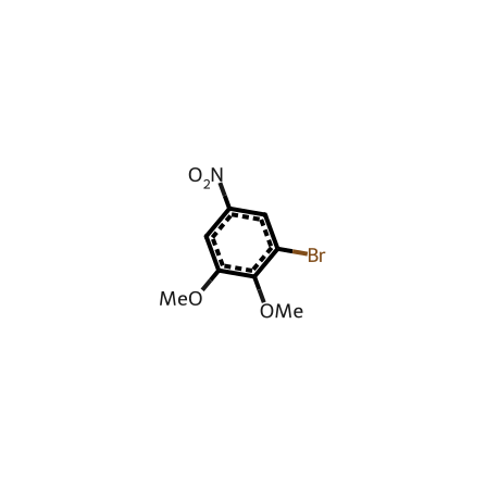 COc1cc([N+](=O)[O-])cc(Br)c1OC